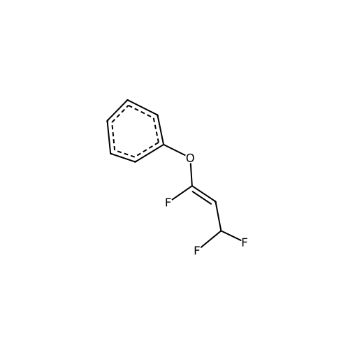 FC(=CC(F)F)Oc1ccccc1